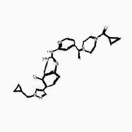 CC(c1ccnc(Nc2nc3ccc(-c4cnn(CC5CC5)c4)c(Cl)c3[nH]2)c1)N1CCN(C(=O)C2CC2)CC1